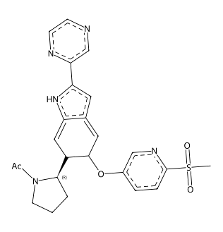 CC(=O)N1CCC[C@@H]1C1C=c2[nH]c(-c3cnccn3)cc2=CC1Oc1ccc(S(C)(=O)=O)nc1